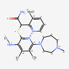 CCNc1c(SC(C(N)=O)c2ncccc2OC)nc(N2CCCN(C)CC2)c(C#N)c1CC